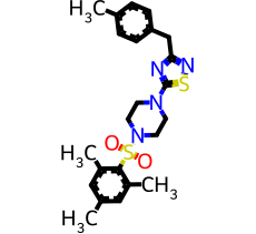 Cc1ccc(Cc2nsc(N3CCN(S(=O)(=O)c4c(C)cc(C)cc4C)CC3)n2)cc1